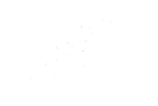 CC(C)(C)c1ccc(C(NC(=O)Nc2ccc3c(c2)C(F)(F)OC(F)(F)O3)c2ccc(C=CC=CC(=O)O)cc2)cc1